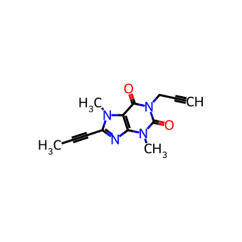 C#CCn1c(=O)c2c(nc(C#CC)n2C)n(C)c1=O